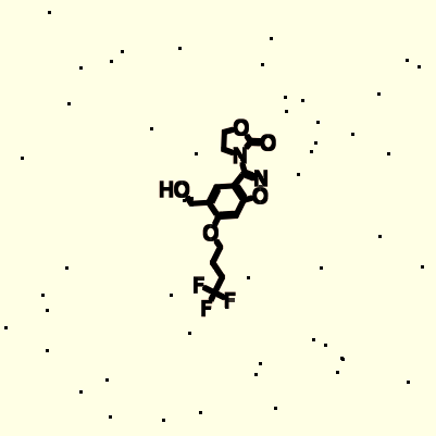 O=C1OCCN1c1noc2cc(OCCCC(F)(F)F)c(CO)cc12